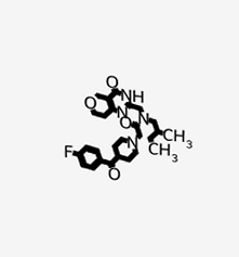 CCC(C)CN(Cc1nc2c(c(=O)[nH]1)COCC2)C(=O)CN1CCC(C(=O)c2ccc(F)cc2)CC1